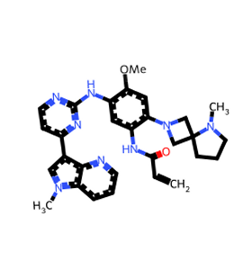 C=CC(=O)Nc1cc(Nc2nccc(-c3cn(C)c4cccnc34)n2)c(OC)cc1N1CC2(CCCN2C)C1